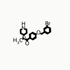 CN(C(=O)c1ccc(OCc2cccc(Br)c2)cc1)C1CCNCC1